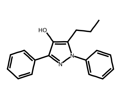 CCCc1c(O)c(-c2ccccc2)nn1-c1ccccc1